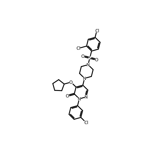 O=c1c(OC2CCCC2)c(N2CCN(S(=O)(=O)c3ccc(Cl)cc3Cl)CC2)cnn1-c1cccc(Cl)c1